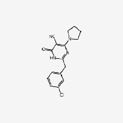 N#Cc1c(N2CCCC2)nc(Cc2cccc(Cl)c2)[nH]c1=O